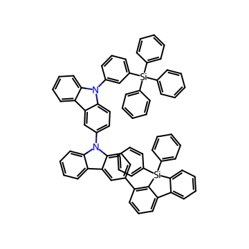 c1ccc([Si](c2ccccc2)(c2ccccc2)c2cccc(-n3c4ccccc4c4cc(-n5c6ccccc6c6cc(-c7cccc8c7[Si](c7ccccc7)(c7ccccc7)c7ccccc7-8)ccc65)ccc43)c2)cc1